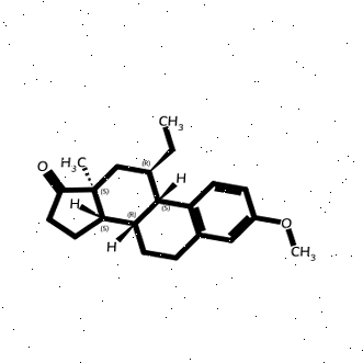 CC[C@@H]1C[C@]2(C)C(=O)CC[C@H]2[C@H]2CCc3cc(OC)ccc3[C@@H]12